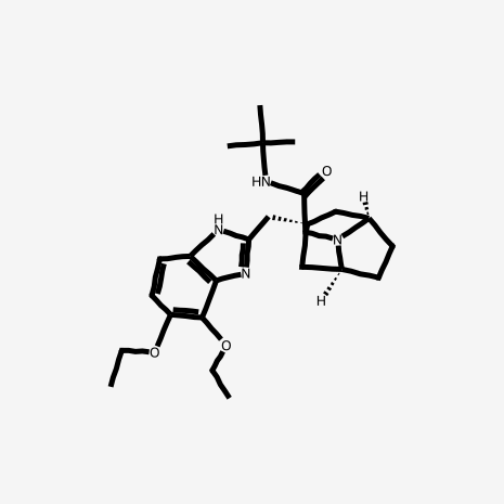 CCOc1ccc2[nH]c(C[C@@H]3C[C@H]4CC[C@@H](C3)N4CC(=O)NC(C)(C)C)nc2c1OCC